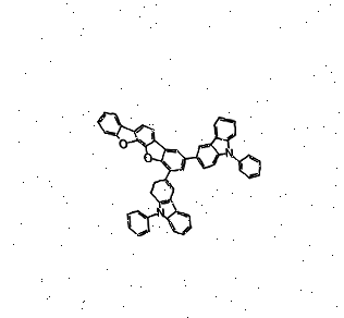 C1=C(c2cc(-c3ccc4c(c3)c3ccccc3n4-c3ccccc3)cc3c2oc2c3ccc3c4ccccc4oc32)CCc2c1c1ccccc1n2-c1ccccc1